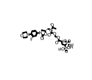 CC(=O)N(C[C@H]1CN(c2ccc(N3CCOCC3)c(F)c2)C(=O)O1)C(=O)OCOC(=O)CCC(P(=O)(O)O)P(=O)(O)O